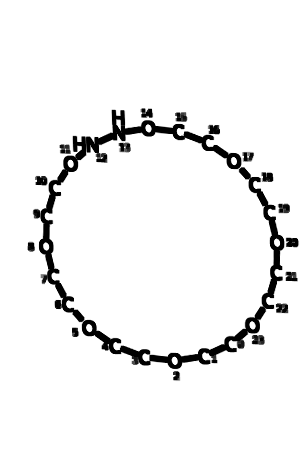 C1COCCOCCOCCONNOCCOCCOCCO1